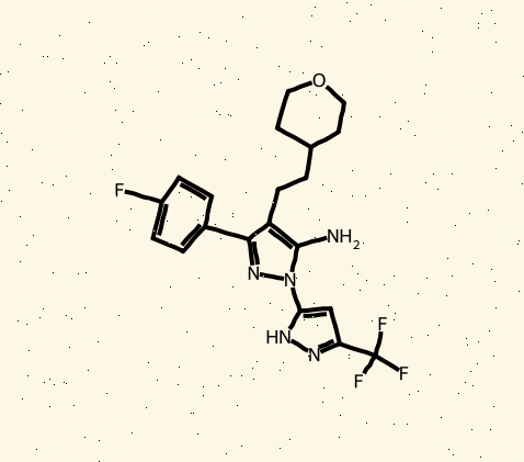 Nc1c(CCC2CCOCC2)c(-c2ccc(F)cc2)nn1-c1cc(C(F)(F)F)n[nH]1